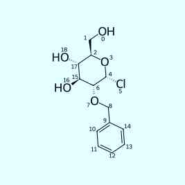 OC[C@H]1O[C@H](Cl)[C@H](OCc2ccccc2)[C@@H](O)[C@@H]1O